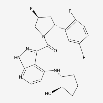 O=C(c1n[nH]c2nccc(N[C@@H]3CCC[C@H]3O)c12)N1C[C@@H](F)C[C@@H]1c1cc(F)ccc1F